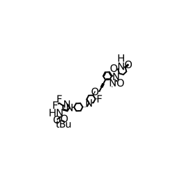 Cn1c(=O)n(C2CCC(=O)NC2=O)c2cccc(C#CCO[C@@H]3CCN(C[C@H]4CC[C@H](n5cc(NC(=O)OC(C)(C)C)c(C(F)F)n5)CC4)C[C@H]3F)c21